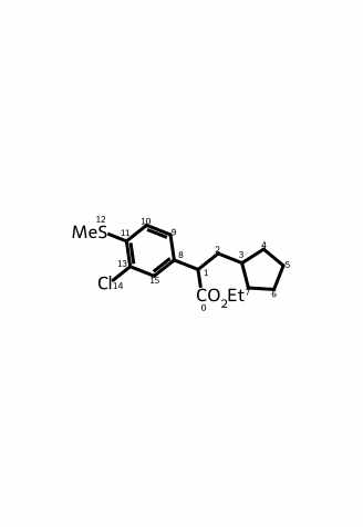 CCOC(=O)C(CC1CCCC1)c1ccc(SC)c(Cl)c1